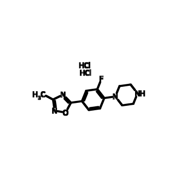 Cc1noc(-c2ccc(N3CCNCC3)c(F)c2)n1.Cl.Cl